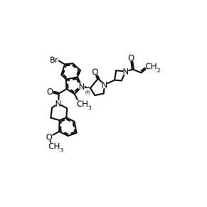 C=CC(=O)N1CC(N2CC[C@@H](n3c(C)c(C(=O)N4CCc5c(cccc5OC)C4)c4cc(Br)ccc43)C2=O)C1